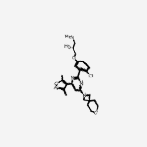 CNC[C@@H](O)COc1ccc(Cl)c(-c2nc(-c3c(C)noc3C)cc(N3CC4(CCOCC4)C3)n2)c1